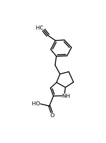 C#Cc1cccc(CC2CCC3NC(C(=O)O)=CC23)c1